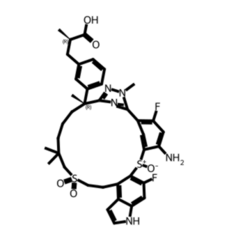 C[C@H](Cc1cccc([C@@]2(C)CCCC(C)(C)CS(=O)(=O)CCc3c(c(F)cc4[nH]ccc34)[S+]([O-])c3cc(c(F)cc3N)-c3nc2nn3C)c1)C(=O)O